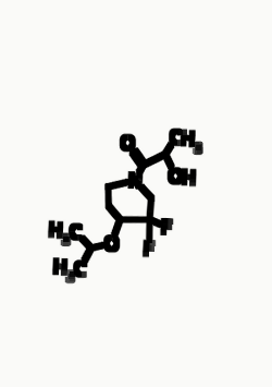 CC(C)OC1CCN(C(=O)C(C)O)CC1(F)F